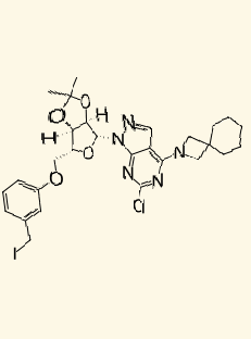 CC1(C)O[C@@H]2[C@H](O1)[C@@H](COc1cccc(CI)c1)O[C@H]2n1ncc2c(N3CC4(CCCCC4)C3)nc(Cl)nc21